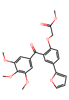 COC(=O)COc1ccc(-c2ccco2)cc1C(=O)c1cc(OC)c(OC)c(OC)c1